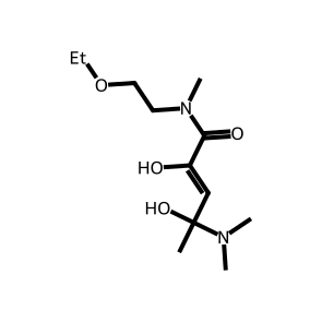 CCOCCN(C)C(=O)/C(O)=C/C(C)(O)N(C)C